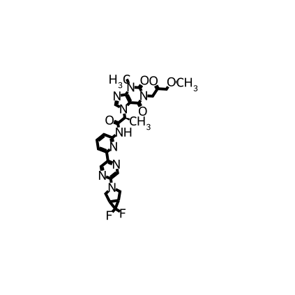 COCC(=O)Cn1c(=O)c2c(ncn2[C@@H](C)C(=O)Nc2cccc(-c3cnc(N4CC5C(C4)C5(F)F)cn3)n2)n(C)c1=O